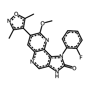 COc1nc2c(cc1-c1c(C)noc1C)ncc1[nH]c(=O)n(-c3ccccc3F)c12